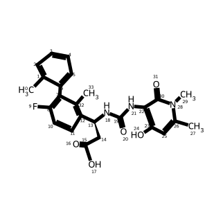 Cc1ccccc1-c1c(F)ccc([C@H](CC(=O)O)NC(=O)Nc2c(O)cc(C)n(C)c2=O)c1C